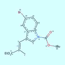 CCOC(=O)/C(C)=C/c1cn(C(=O)OC(C)(C)C)c2ccc(Br)cc12